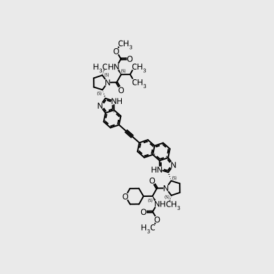 COC(=O)N[C@H](C(=O)N1[C@@H](C)CC[C@H]1c1nc2ccc(C#Cc3ccc4c(ccc5nc([C@@H]6CC[C@H](C)N6C(=O)[C@@H](NC(=O)OC)C6CCOCC6)[nH]c54)c3)cc2[nH]1)C(C)C